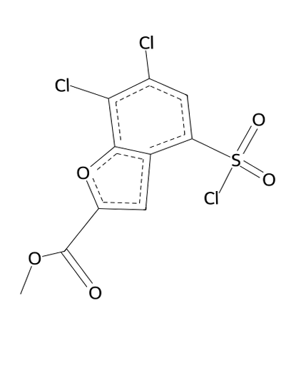 COC(=O)c1cc2c(S(=O)(=O)Cl)cc(Cl)c(Cl)c2o1